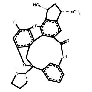 C[C@H]1C[C@@H](O)c2c1cc1c(c2F)-c2c(Cl)c(F)cc3c2C[C@]([C@@H]2CCCN2)(O3)c2cccc(c2)NC1=O